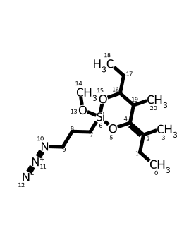 CC/C(C)=C1\O[Si](CCCN=[N+]=[N-])(OC)OC(CC)C1C